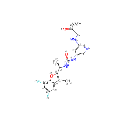 CNC(=O)CNc1cncc(NC(=O)N[C@@H](c2oc3c(F)cc(F)cc3c2C)C(F)(F)F)c1